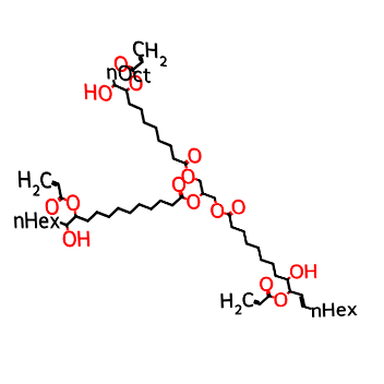 C=CC(=O)OC(/C=C/CCCCCC)C(O)CCCCCCCC(=O)OCC(COC(=O)CCCCCCCC(OC(=O)C=C)C(O)CCCCCCCC)OC(=O)CCCCCCCCCC(OC(=O)C=C)C(O)CCCCCC